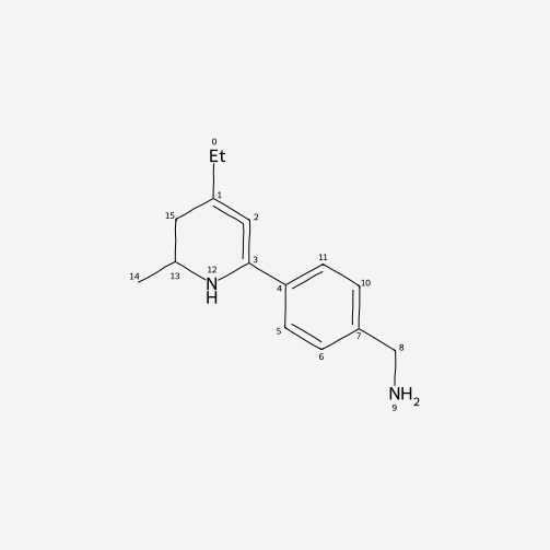 CCC1=C=C(c2ccc(CN)cc2)NC(C)C1